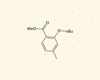 CCCCOc1cc(C)ccc1C(=O)OC